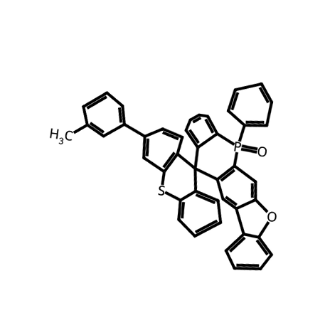 Cc1cccc(-c2ccc3c(c2)Sc2ccccc2C32c3ccccc3P(=O)(c3ccccc3)c3cc4oc5ccccc5c4cc32)c1